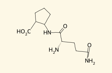 NC(=O)CC[C@H](N)C(=O)NC1CCCC1C(=O)O